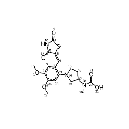 COc1cc(C=C2SC(=O)NC2=O)c(N2CCC(N(C)C(=O)O)C2)cc1OC